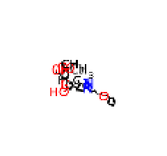 COc1cc(CCC(CC(=O)O)c2ccc3c(nnn3CCCCOCc3ccccc3)c2C)cc(CO)c1OC